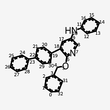 c1ccc(COc2ncc(Nc3ccccc3)cc2-c2ccc(-c3ccccc3)cc2)cc1